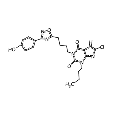 CCCCn1c(=O)n(CCCCc2nc(-c3ccc(O)cc3)no2)c(=O)c2[nH]c(Cl)nc21